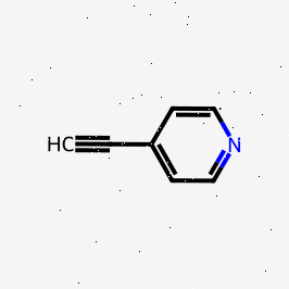 C#Cc1c[c]ncc1